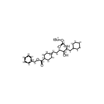 CC(C)(C)OC(=O)N[C@@H](CC1CCCCC1)[C@@H](O)CCCN1CCC(C(=O)OCc2ccccc2)CC1